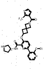 CCOc1ncccc1-c1ccc(OC2CC3(C2)CN(C(=O)c2ccsc2C(F)(F)F)C3)c(C(=O)N[C@@H]2CCNC2)n1